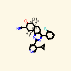 C[C@H]1C(=O)C(C#N)C[C@@]2(C)c3nc(-c4ccncc4C4CC4)nc(-c4ccccc4F)c3CC[C@H]12